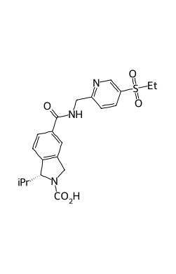 CCS(=O)(=O)c1ccc(CNC(=O)c2ccc3c(c2)CN(C(=O)O)[C@@H]3C(C)C)nc1